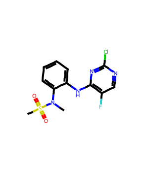 CN(c1ccccc1Nc1nc(Cl)ncc1F)S(C)(=O)=O